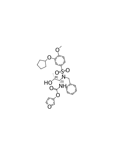 COc1ccc(S(=O)(=O)N(Cc2ccccc2)[C@H](NC(=O)Oc2ccoc2)[C@@H](C)O)cc1OC1CCCC1